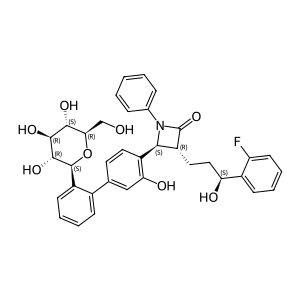 O=C1[C@H](CC[C@H](O)c2ccccc2F)[C@@H](c2ccc(-c3ccccc3[C@@H]3O[C@H](CO)[C@@H](O)[C@H](O)[C@H]3O)cc2O)N1c1ccccc1